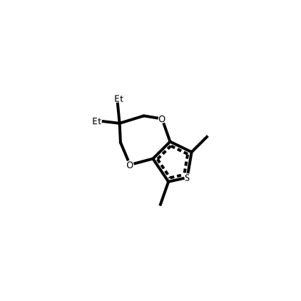 CCC1(CC)COc2c(C)sc(C)c2OC1